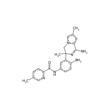 Bc1ccc(NC(=O)c2ccc(C)cn2)cc1C1(C)Cn2cc(C)cc2C(N)=N1